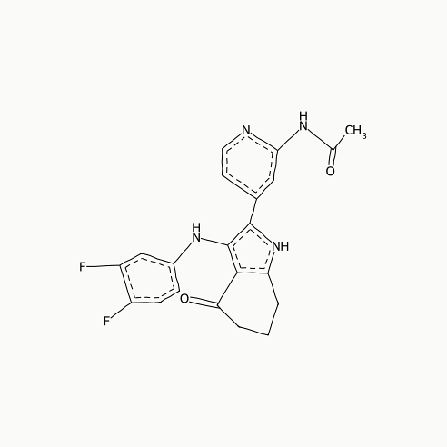 CC(=O)Nc1cc(-c2[nH]c3c(c2Nc2ccc(F)c(F)c2)C(=O)CCC3)ccn1